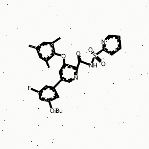 Cc1cc(C)c(Oc2cc(-c3cc(F)cc(OCC(C)C)c3)cnc2C(=O)NS(=O)(=O)c2ccccn2)c(C)c1